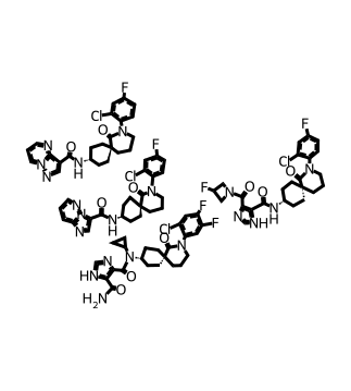 NC(=O)c1[nH]cnc1C(=O)N(C1CC1)[C@H]1CC[C@]2(CCCN(c3cc(F)c(F)cc3Cl)C2=O)CC1.O=C(N[C@H]1CC[C@@]2(CCCN(c3ccc(F)cc3Cl)C2=O)CC1)c1cnc2cccnn12.O=C(N[C@H]1CC[C@@]2(CCCN(c3ccc(F)cc3Cl)C2=O)CC1)c1cnn2cccnc12.O=C(N[C@H]1CC[C@]2(CCCN(c3ccc(F)cc3Cl)C2=O)CC1)c1[nH]cnc1C(=O)N1CC(F)C1